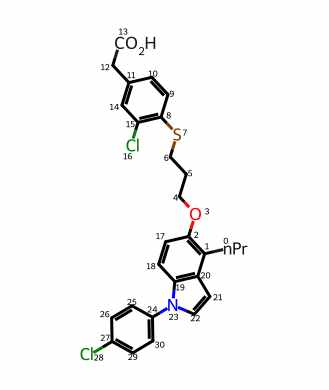 CCCc1c(OCCCSc2ccc(CC(=O)O)cc2Cl)ccc2c1ccn2-c1ccc(Cl)cc1